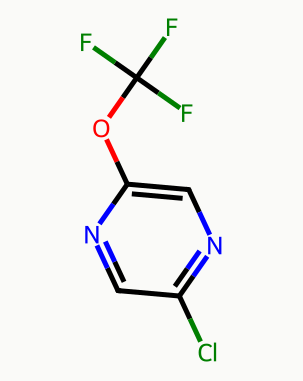 FC(F)(F)Oc1cnc(Cl)cn1